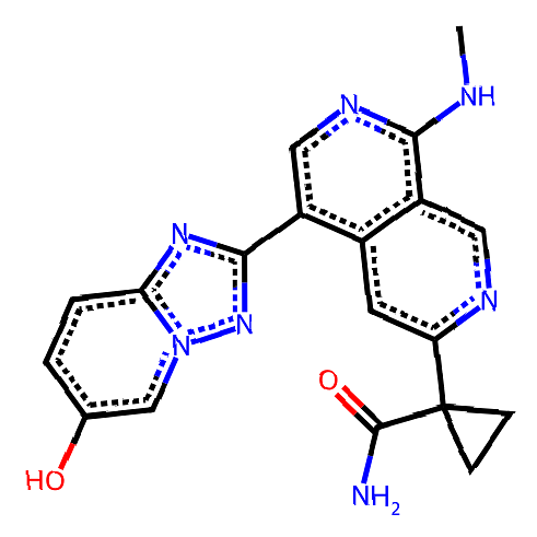 CNc1ncc(-c2nc3ccc(O)cn3n2)c2cc(C3(C(N)=O)CC3)ncc12